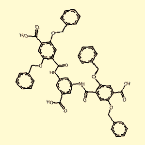 O=C(O)c1cc(NC(=O)c2cc(OCc3ccccc3)c(C(=O)O)cc2OCc2ccccc2)cc(NC(=O)c2cc(OCc3ccccc3)c(C(=O)O)cc2OCc2ccccc2)c1